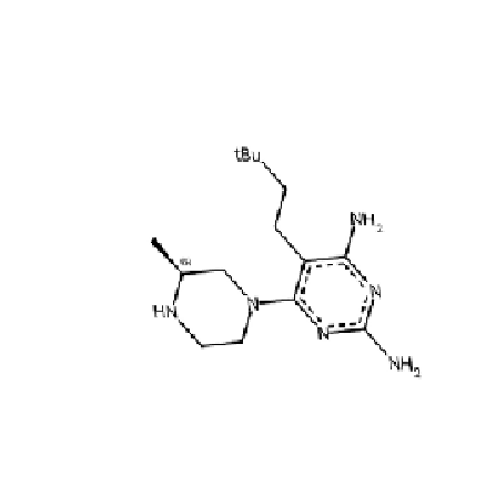 C[C@H]1CN(c2nc(N)nc(N)c2CCC(C)(C)C)CCN1